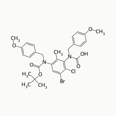 COc1ccc(CN(C(=O)OC(C)(C)C)c2cc(Br)c(Cl)c(N(Cc3ccc(OC)cc3)C(=O)O)c2C)cc1